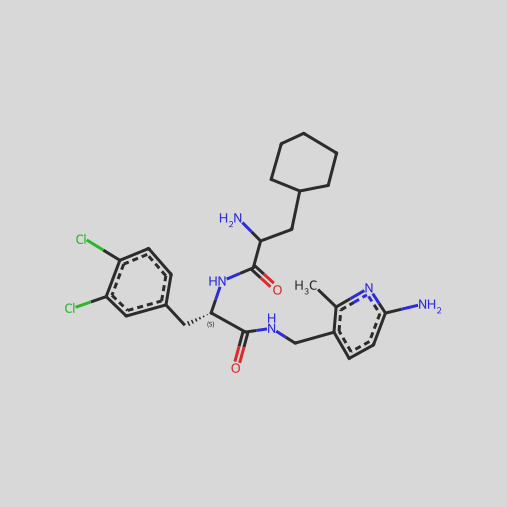 Cc1nc(N)ccc1CNC(=O)[C@H](Cc1ccc(Cl)c(Cl)c1)NC(=O)C(N)CC1CCCCC1